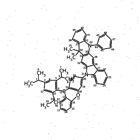 CC(C)c1cc(C(C)C)c(B2c3ccccc3Oc3cc(-n4c5ccccc5c5cc6c(cc54)C(C)(C)c4ccccc4N6c4ccccc4)ccc32)c(C(C)C)c1